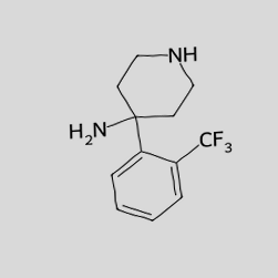 NC1(c2ccccc2C(F)(F)F)CCNCC1